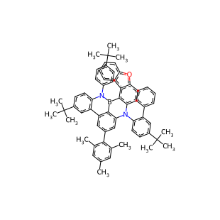 Cc1cc(C)c(-c2cc3c4c(c2)N(c2ccc(C(C)(C)C)cc2-c2ccccc2)c2ccc5oc6ccccc6c5c2B4N(c2ccc(C(C)(C)C)cc2)c2ccc(C(C)(C)C)cc2-3)c(C)c1